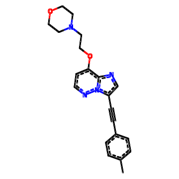 Cc1ccc(C#Cc2cnc3c(OCCN4CCOCC4)ccnn23)cc1